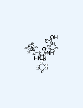 O=C(O)c1cccc(NC(=O)c2nc(C3CCCCC3)[nH]c2CCC23CCC(CC2)CC3)c1